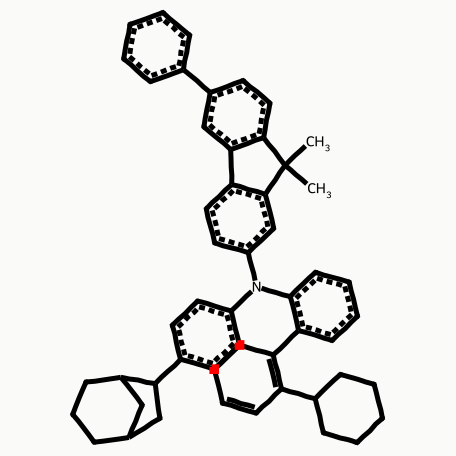 CC1(C)c2ccc(-c3ccccc3)cc2-c2ccc(N(c3ccc(C4CC5CCCC4C5)cc3)c3ccccc3C3=C(C4CCCCC4)C=CCC3)cc21